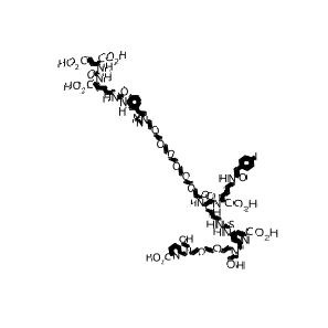 O=C(O)CC[C@H](NC(=O)N[C@@H](CCCCNC(=O)Nc1cccc(-c2cn(CCOCCOCCOCCOCCOCCOCCC(=O)N[C@@H](CCCCNC(=S)Nc3cc(CN(CCO)CCOCCOCCN(CCO)Cc4cccc(C(=O)O)n4)nc(C(=O)O)c3)C(=O)N[C@@H](CCCCNC(=O)Cc3ccc(I)cc3)C(=O)O)nn2)c1)C(=O)O)C(=O)O